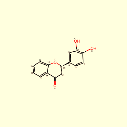 O=C1C[C@H](c2ccc(O)c(O)c2)Oc2ccccc21